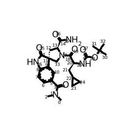 CN(C)C(=O)c1ccc2c(c1)[C@@]1(C[C@@H](C(N)=O)N(C(=O)[C@H](CC3CC3)NC(=O)OC(C)(C)C)C1)C(=O)N2